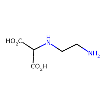 NCCNC(C(=O)O)C(=O)O